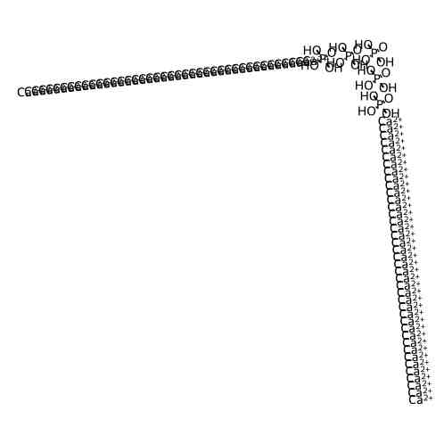 O=P(O)(O)O.O=P(O)(O)O.O=P(O)(O)O.O=P(O)(O)O.O=P(O)(O)O.[Ca+2].[Ca+2].[Ca+2].[Ca+2].[Ca+2].[Ca+2].[Ca+2].[Ca+2].[Ca+2].[Ca+2].[Ca+2].[Ca+2].[Ca+2].[Ca+2].[Ca+2].[Ca+2].[Ca+2].[Ca+2].[Ca+2].[Ca+2].[Ca+2].[Ca+2].[Ca+2].[Ca+2].[Ca+2].[Ca+2].[Ca+2].[Ca+2].[Ca+2].[Ca+2].[Ca+2].[Ca+2].[Ca+2].[Ca+2].[Ca+2].[Ca+2].[Ca+2].[Ca+2].[Ca+2].[Ca+2].[Ca+2].[Ca+2].[Ca+2].[Ca+2].[Ca+2].[Ca+2].[Ca+2].[Ca+2].[Ca+2].[Ca+2].[Ca+2].[Ca+2].[Ca+2].[Ca+2].[Ca+2].[Ca+2].[Ca+2].[Ca+2].[Ca+2].[Ca+2].[Ca+2].[Ca+2].[Ca+2].[Ca+2].[Ca+2].[Ca+2].[Ca+2].[Ca+2].[Ca+2].[Ca+2].[Ca+2].[Ca+2].[Ca+2].[Ca+2].[Ca+2].[Ca+2].[Ca+2].[Ca+2].[Ca+2].[Ca+2].[Ca+2]